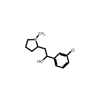 CN1CCCC1CC(O)c1cccc(Cl)c1